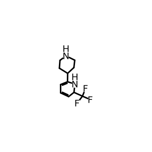 FC(F)(F)C1C=CC=C(C2CCNCC2)N1